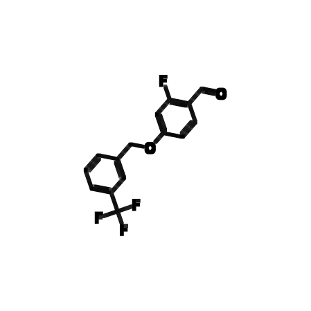 O=Cc1ccc(OCc2cccc(C(F)(F)F)c2)cc1F